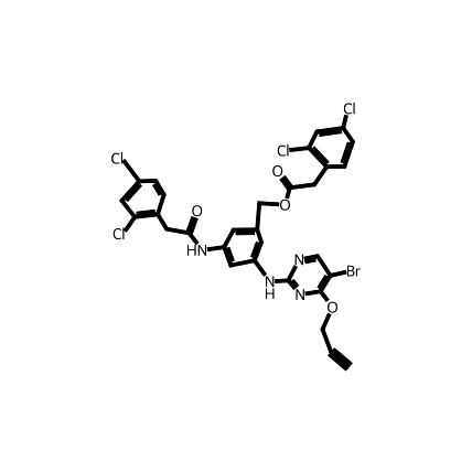 C#CCOc1nc(Nc2cc(COC(=O)Cc3ccc(Cl)cc3Cl)cc(NC(=O)Cc3ccc(Cl)cc3Cl)c2)ncc1Br